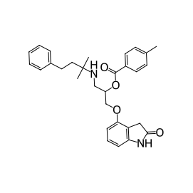 Cc1ccc(C(=O)OC(CNC(C)(C)CCc2ccccc2)COc2cccc3c2CC(=O)N3)cc1